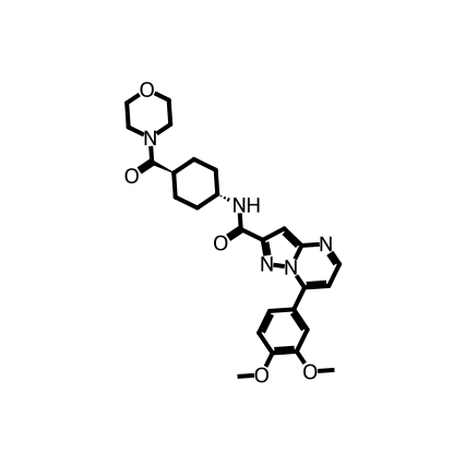 COc1ccc(-c2ccnc3cc(C(=O)N[C@H]4CC[C@H](C(=O)N5CCOCC5)CC4)nn23)cc1OC